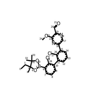 CCC1(C)OB(c2cccc(-c3cccc(-c4cnc(C=O)c(OC)n4)c3Cl)c2Cl)OC1(C)C